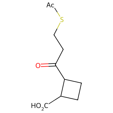 CC(=O)SCCC(=O)C1CCC1C(=O)O